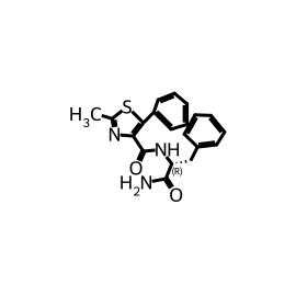 Cc1nc(C(=O)N[C@H](Cc2ccccc2)C(N)=O)c(-c2ccccc2)s1